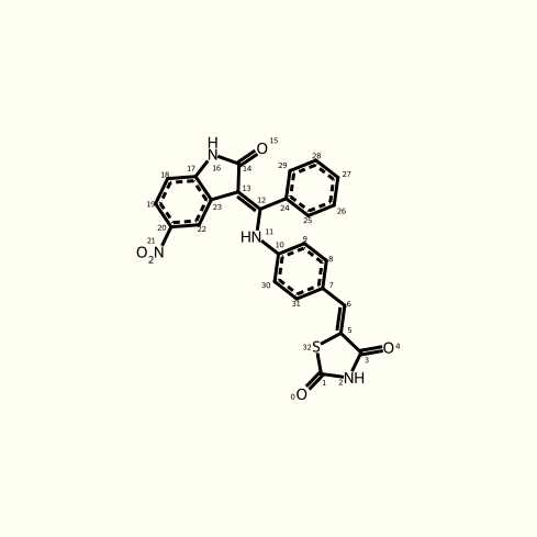 O=C1NC(=O)C(=Cc2ccc(NC(=C3C(=O)Nc4ccc([N+](=O)[O-])cc43)c3ccccc3)cc2)S1